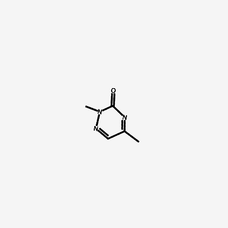 Cc1cnn(C)c(=O)n1